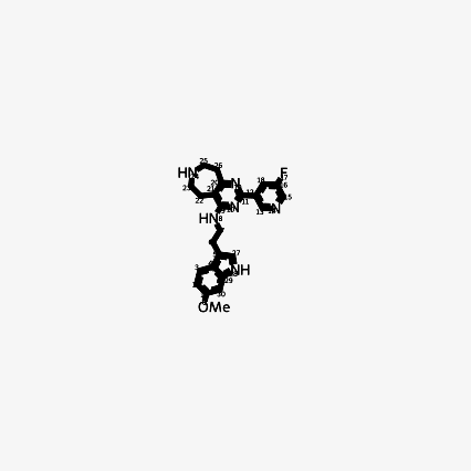 COc1ccc2c(CCNc3nc(-c4cncc(F)c4)nc4c3CCNCC4)c[nH]c2c1